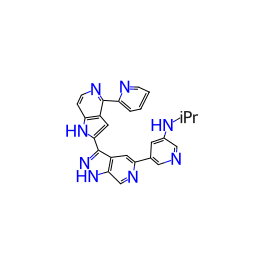 CC(C)Nc1cncc(-c2cc3c(-c4cc5c(-c6ccccn6)nccc5[nH]4)n[nH]c3cn2)c1